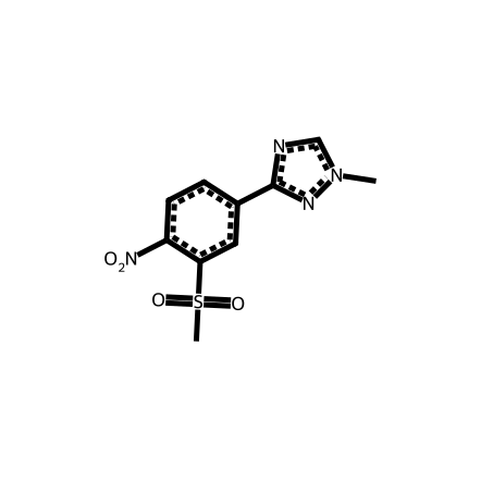 Cn1cnc(-c2ccc([N+](=O)[O-])c(S(C)(=O)=O)c2)n1